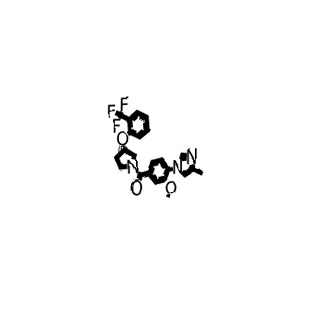 COc1cc(C(=O)N2CC[C@@H](Oc3ccccc3C(F)(F)F)C2)ccc1-n1cnc(C)c1